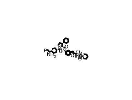 N[C@H](CF)[C@H]1CC[C@H](C(=O)N2CC[C@@H](C3CCCCC3)[C@H]2C(=O)Nc2ccc3oc(C(=O)NS(=O)(=O)N4CCCCC4)cc3c2)CC1